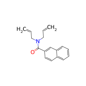 C=CCN(CC=C)C(=O)c1ccc2ccccc2c1